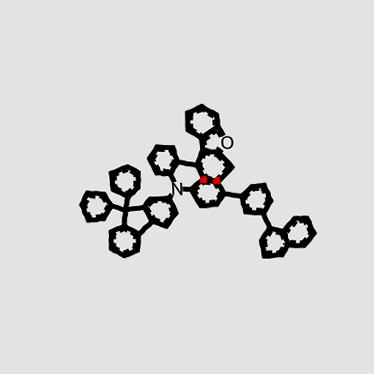 c1ccc(C2(c3ccccc3)c3ccccc3-c3ccc(N(c4ccc(-c5cccc(-c6cccc7ccccc67)c5)cc4)c4ccccc4-c4cccc5oc6ccccc6c45)cc32)cc1